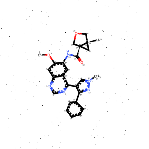 CCOc1cc2ncnc(-c3cn(C)nc3-c3ccccc3)c2cc1NC(=O)[C@@]12COC[C@@H]1C2